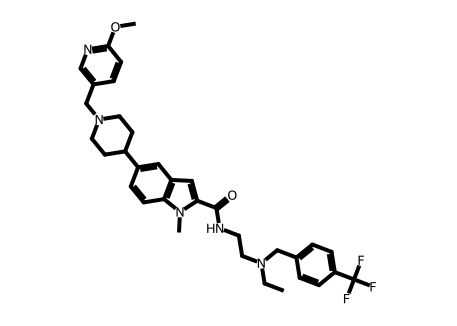 CCN(CCNC(=O)c1cc2cc(C3CCN(Cc4ccc(OC)nc4)CC3)ccc2n1C)Cc1ccc(C(F)(F)F)cc1